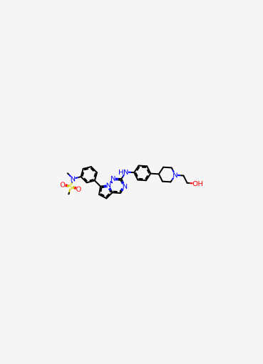 CN(c1cccc(-c2ccc3cnc(Nc4ccc(C5CCN(CCO)CC5)cc4)nn23)c1)S(C)(=O)=O